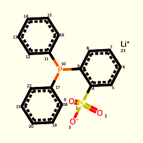 O=S(=O)([O-])c1ccccc1P(c1ccccc1)c1ccccc1.[Li+]